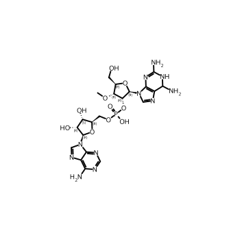 CO[C@H]1[C@@H](OP(=O)(O)OC[C@H]2O[C@@H](n3cnc4c(N)ncnc43)[C@H](O)[C@@H]2O)[C@H](n2cnc3c2N=C(N)NC3N)O[C@@H]1CO